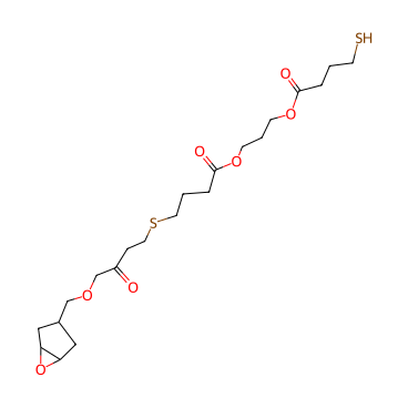 O=C(CCSCCCC(=O)OCCCOC(=O)CCCS)COCC1CC2OC2C1